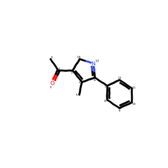 CC(=O)C1=C(C)C(c2ccccc2)=NC1